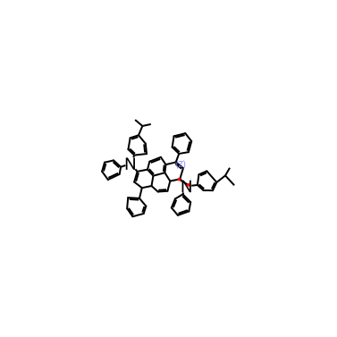 CCC1C=CC2c3c(ccc(/C(=C\CN(c4ccccc4)c4ccc(C(C)C)cc4)c4ccccc4)c31)C(N(c1ccccc1)c1ccc(C(C)C)cc1)=CC2c1ccccc1